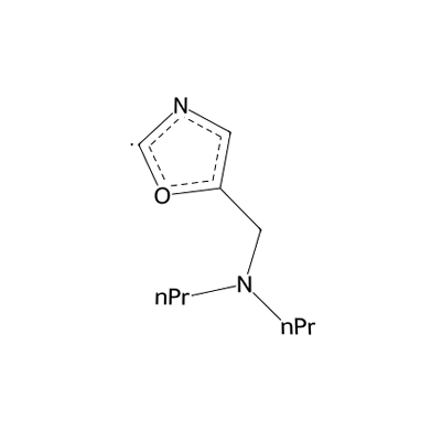 CCCN(CCC)Cc1cn[c]o1